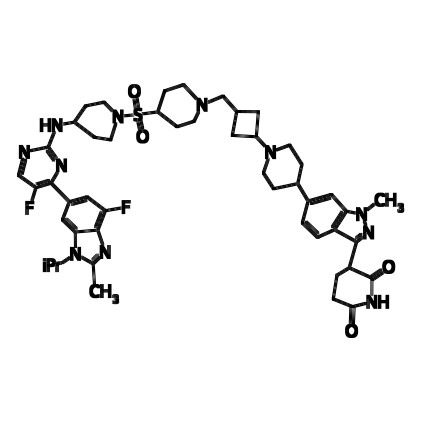 Cc1nc2c(F)cc(-c3nc(NC4CCN(S(=O)(=O)C5CCN(CC6CC(N7CCC(c8ccc9c(C%10CCC(=O)NC%10=O)nn(C)c9c8)CC7)C6)CC5)CC4)ncc3F)cc2n1C(C)C